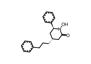 O=C1C[C@H](CCCc2ccccc2)C[C@@H](c2ccccc2)N1O